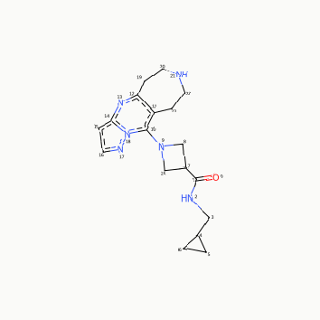 O=C(NCC1CC1)C1CN(c2c3c(nc4ccnn24)CCNCC3)C1